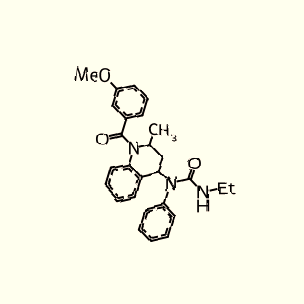 CCNC(=O)N(c1ccccc1)C1CC(C)N(C(=O)c2cccc(OC)c2)c2ccccc21